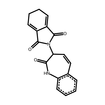 O=C1Nc2ccccc2C=CC1N1C(=O)C2=CCCC=C2C1=O